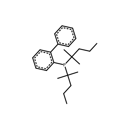 CCCC(C)(C)P(c1ccccc1-c1ccccc1)C(C)(C)CCC